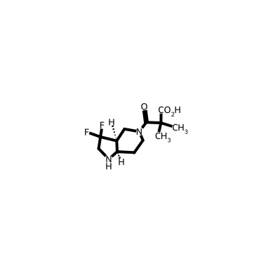 CC(C)(C(=O)O)C(=O)N1CC[C@H]2NCC(F)(F)[C@H]2C1